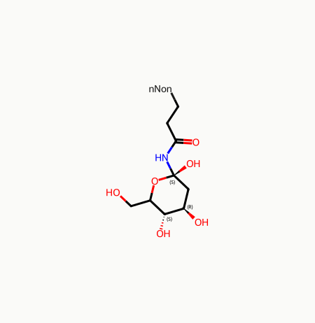 CCCCCCCCCCCC(=O)N[C@]1(O)C[C@@H](O)[C@H](O)C(CO)O1